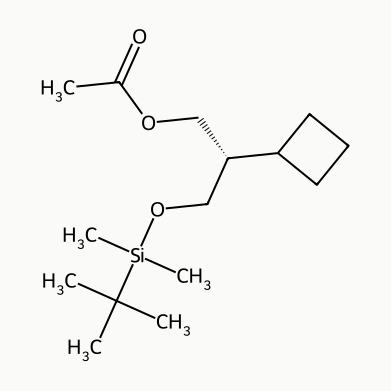 CC(=O)OC[C@@H](CO[Si](C)(C)C(C)(C)C)C1CCC1